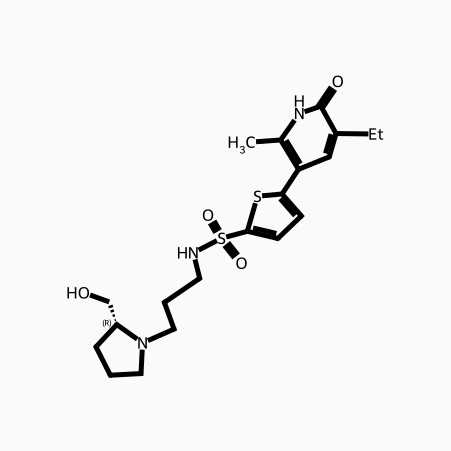 CCc1cc(-c2ccc(S(=O)(=O)NCCCN3CCC[C@@H]3CO)s2)c(C)[nH]c1=O